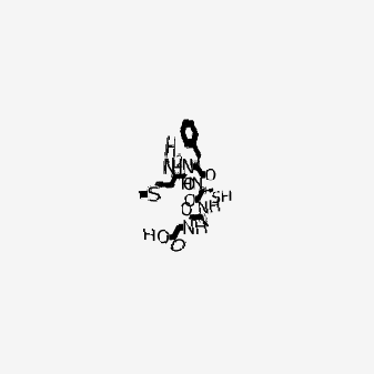 CSCC[C@H](N)C(=O)N[C@@H](Cc1ccccc1)C(=O)N[C@@H](CS)C(=O)N[C@@H](C)C(=O)NCC(=O)O